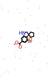 COC(=O)c1cc(Br)c2c(c1)NCC21CCCC1=O